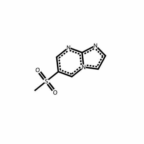 CS(=O)(=O)c1cnc2nccn2c1